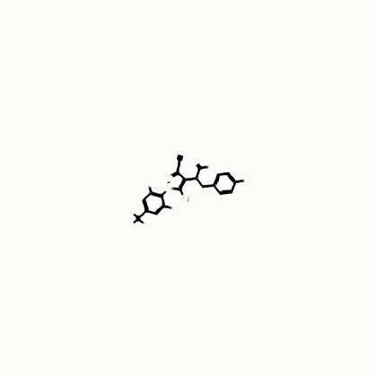 N#Cc1nn(-c2c(Cl)cc(C(F)(F)F)cc2Cl)c(N)c1C(Cc1ccc(F)cc1)C(N)=O